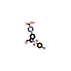 O=Cc1cn(S(=O)(=O)c2ccc(Br)cc2)c2ccc(N3CCN(C(=O)O)CC3)cc12